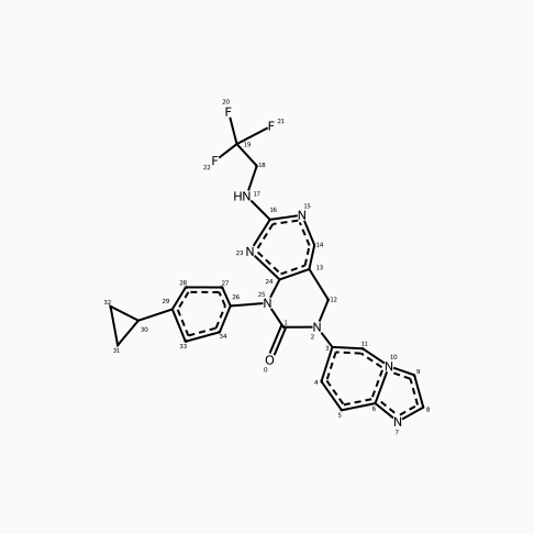 O=C1N(c2ccc3nccn3c2)Cc2cnc(NCC(F)(F)F)nc2N1c1ccc(C2CC2)cc1